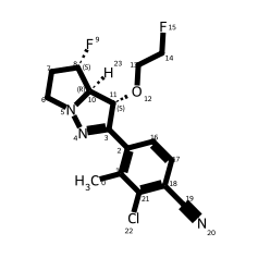 Cc1c(C2=NN3CC[C@H](F)[C@H]3[C@@H]2OCCF)ccc(C#N)c1Cl